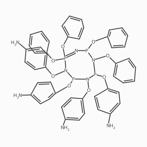 Nc1ccc(ON2P(Oc3ccc(N)cc3)N(Oc3ccccc3)P(Oc3ccccc3)N=P(Oc3ccccc3)(Oc3ccccc3)N(Oc3ccc(N)cc3)P2Oc2ccc(N)cc2)cc1